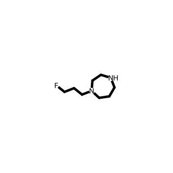 FCCCN1CCCNCC1